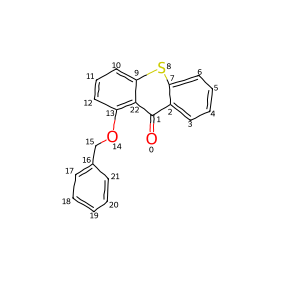 O=c1c2ccccc2sc2cccc(OCc3ccccc3)c12